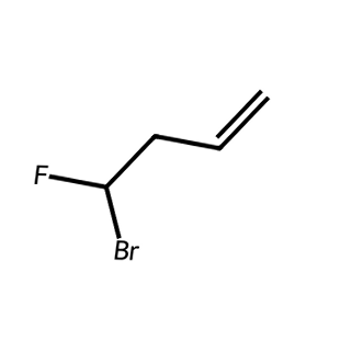 C=CCC(F)Br